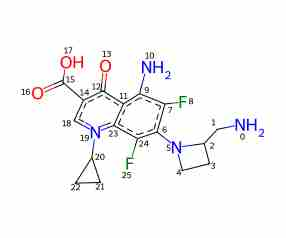 NCC1CCN1c1c(F)c(N)c2c(=O)c(C(=O)O)cn(C3CC3)c2c1F